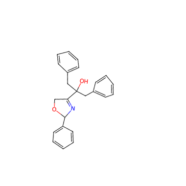 OC(Cc1ccccc1)(Cc1ccccc1)C1=NC(c2ccccc2)OC1